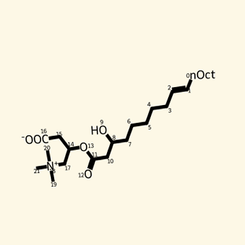 CCCCCCCCC=CCCCCCC(O)CC(=O)OC(CC(=O)[O-])C[N+](C)(C)C